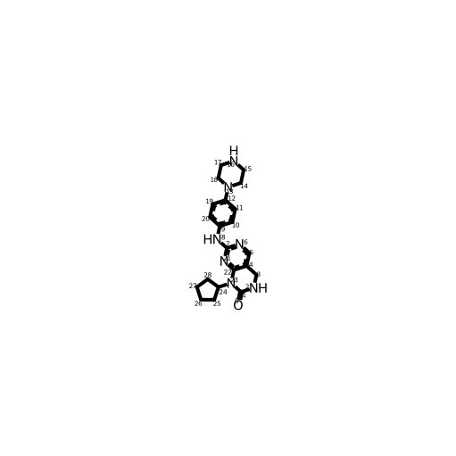 O=C1NCc2cnc(Nc3ccc(N4CCNCC4)cc3)nc2N1C1CCCC1